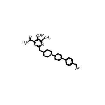 CC(=O)Cc1ccc(-c2ccc(N3CCC(Cc4nc(C)c(OC(C)=O)c(C(N)=O)n4)CC3)cc2)cc1